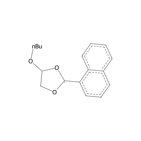 CCCCOC1CO[C](c2cccc3ccccc23)O1